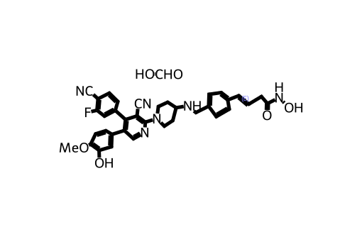 COc1ccc(-c2cnc(N3CCC(NCc4ccc(/C=C/CC(=O)NO)cc4)CC3)c(C#N)c2-c2ccc(C#N)c(F)c2)cc1O.O=CO